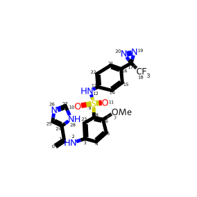 C=C(Nc1ccc(OC)c(S(=O)(=O)Nc2ccc(C3(C(F)(F)F)N=N3)cc2)c1)c1cnc[nH]1